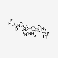 Nc1ncnn2c([C@@H]3CCCN(C(=O)C4CC(F)(F)C4)C3)nc(-c3ccc(C(=O)Nc4cc(C(F)(F)F)ccn4)cc3)c12